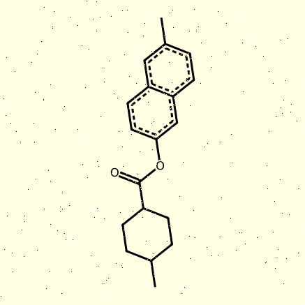 Cc1ccc2cc(OC(=O)C3CCC(C)CC3)ccc2c1